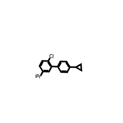 CC(C)c1ccc(Cl)c(-c2ccc(C3CC3)cc2)c1